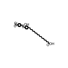 O=C(O)CCCCCCCCCCCCCCCCCc1ccc(N=Nc2ccc([N+](=O)[O-])cc2)c(O)c1